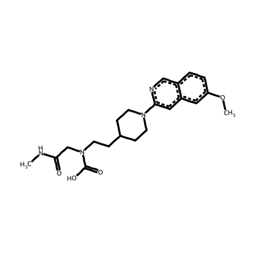 CNC(=O)CN(CCC1CCN(c2cc3cc(OC)ccc3cn2)CC1)C(=O)O